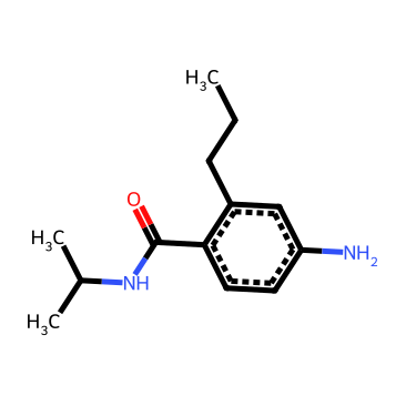 CCCc1cc(N)ccc1C(=O)NC(C)C